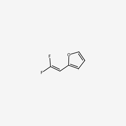 FC(F)=Cc1[c]cco1